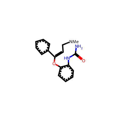 CNCC=C(Oc1ccccc1NC(N)=O)c1ccccc1